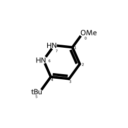 COC1=CC=C(C(C)(C)C)NN1